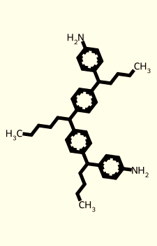 CCCCCC(c1ccc(C(CCCC)c2ccc(N)cc2)cc1)c1ccc(C(CCCC)c2ccc(N)cc2)cc1